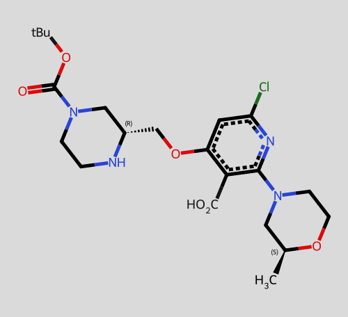 C[C@H]1CN(c2nc(Cl)cc(OC[C@H]3CN(C(=O)OC(C)(C)C)CCN3)c2C(=O)O)CCO1